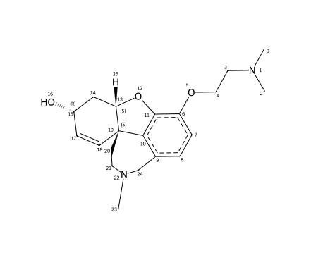 CN(C)CCOc1ccc2c3c1O[C@H]1C[C@@H](O)C=C[C@@]31CCN(C)C2